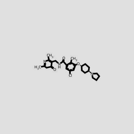 CC1=NC(C)=C(CNC(=O)c2cc(Cl)cc(O[C@H]3CC[C@H](N4CCCC4)CC3)c2C)C(=O)C1